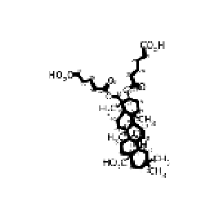 CC1(C)CC[C@]2(C(=O)O)CC[C@]3(C)C(=CCC4[C@@]5(C)CC[C@H](OC(=O)CCCCC(=O)O)[C@@](C)(COC(=O)CCCCC(=O)O)C5CC[C@]43C)[C@@H]2C1